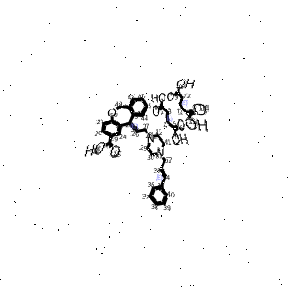 O=C(O)/C=C/C(=O)O.O=C(O)/C=C/C(=O)O.O=C(O)c1ccc2c(c1)/C(=C/CN1CCN(C/C=C/c3ccccc3)CC1)c1ccccc1CO2